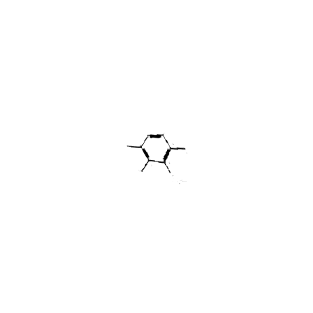 Cc1ccc(C)c([SeH])c1C